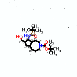 CC(C)(C)OC(=O)N1CCCC2CC(CO)C(N[S+]([O-])C(C)(C)C)C2CC1